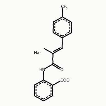 C/C(=C\c1ccc(C(F)(F)F)cc1)C(=O)Nc1ccccc1C(=O)[O-].[Na+]